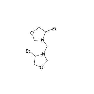 CCC1COCN1CN1COCC1CC